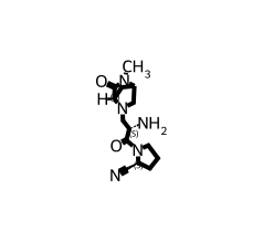 CN1C(=O)[C@@H]2CC1CN2C[C@H](N)C(=O)N1CCC[C@H]1C#N